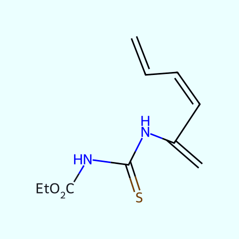 C=C/C=C\C(=C)NC(=S)NC(=O)OCC